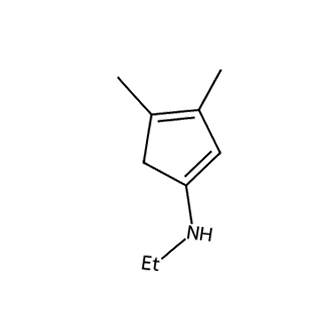 CCNC1=CC(C)=C(C)C1